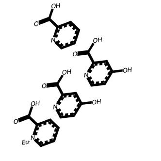 O=C(O)c1cc(O)ccn1.O=C(O)c1cc(O)ccn1.O=C(O)c1ccccn1.O=C(O)c1ccccn1.[Eu]